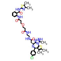 CC(=N)N1C(=N)[C@H](CC(=O)NCCNC(=O)CCOCCC(=O)Nc2ccccc2C(=O)NC2=NC(C)C(C)S2)N=C(c2ccc(Cl)cc2)c2c1sc(C)c2C